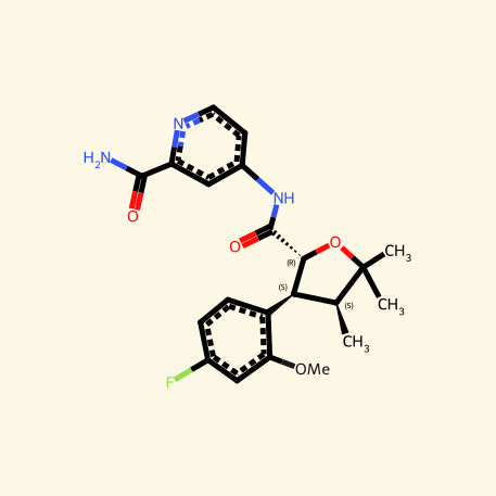 COc1cc(F)ccc1[C@H]1[C@H](C(=O)Nc2ccnc(C(N)=O)c2)OC(C)(C)[C@H]1C